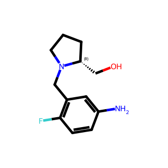 Nc1ccc(F)c(CN2CCC[C@@H]2CO)c1